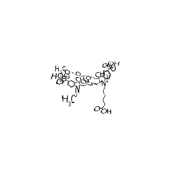 CCN1/C(=C/C=C/C=C/C2=[N+](CCCCCC(=O)O)c3ccc(S(=O)(=O)O)cc3C2(C)CCOCCOCCOC)C(C)(C)c2cc(S(=O)(=O)O)ccc21